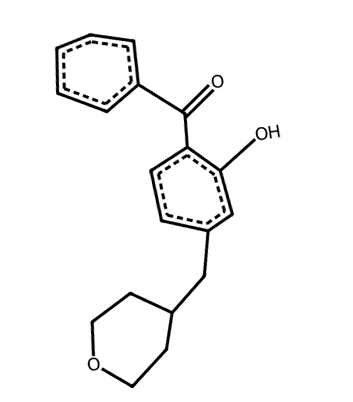 O=C(c1ccccc1)c1ccc(CC2CCOCC2)cc1O